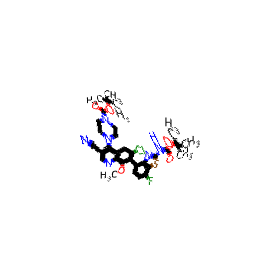 COc1c(-c2ccc(F)c3sc(NC(=O)OC(C)(C)C)nc23)c(Cl)cc2c(N3CCN(C(=O)OC(C)(C)C)CC3)c(C#N)cnc12